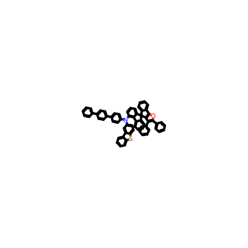 c1ccc(-c2ccc(-c3ccc(N(c4ccc5sc6ccccc6c5c4)c4cccc5c4-c4ccccc4C54c5ccccc5-c5oc(-c6ccccc6)c(-c6ccccc6)c54)cc3)cc2)cc1